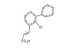 O=C(O)/C=C/c1cccc(-c2ccccc2)c1Cl